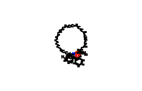 CC1(C)CCCCCCCCCCCCCCCCCCCCCCC(C)(C)P(Oc2ccccc2)(Oc2ccccc2)=N1